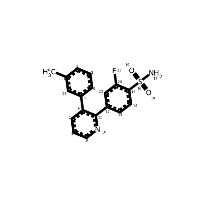 Cc1cccc(-c2cccnc2-c2ccc(S(N)(=O)=O)c(F)c2)c1